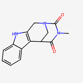 CN1C(=O)C2CN(Cc3[nH]c4ccccc4c32)C1=O